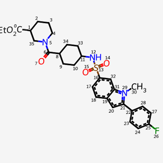 CCOC(=O)C1CCCN(C(=O)C2CCC(NS(=O)(=O)c3ccc4cc(-c5ccc(F)cc5)n(C)c4c3)CC2)C1